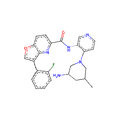 CC1CC(N)CN(c2ccncc2NC(=O)c2ccc3occ(-c4ccccc4F)c3n2)C1